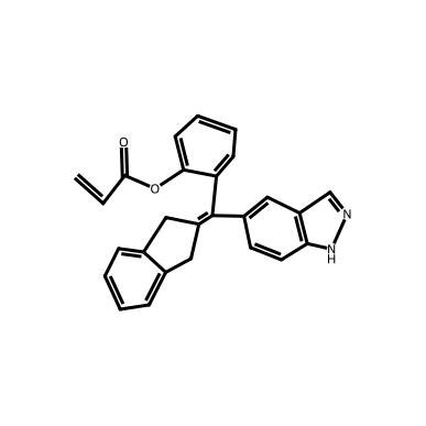 C=CC(=O)Oc1ccccc1C(=C1Cc2ccccc2C1)c1ccc2[nH]ncc2c1